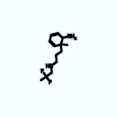 CC(F)(F)CNCCCC1(C)C=CC=CC1N